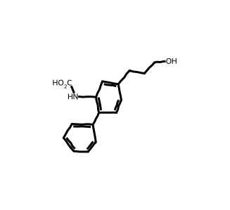 O=C(O)Nc1cc(CCCO)ccc1-c1ccccc1